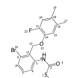 CSC(=O)Nc1cccc(Br)c1COc1cc(C)c(C)cc1F